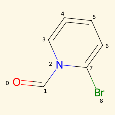 O=CN1C=C=CC=C1Br